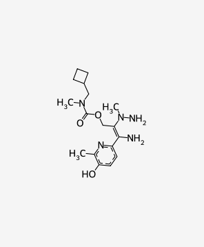 Cc1nc(/C(N)=C(\COC(=O)N(C)CC2CCC2)N(C)N)ccc1O